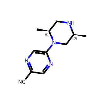 C[C@H]1CN(c2cnc(C#N)cn2)[C@@H](C)CN1